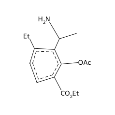 CCOC(=O)c1ccc(CC)c(C(C)N)c1OC(C)=O